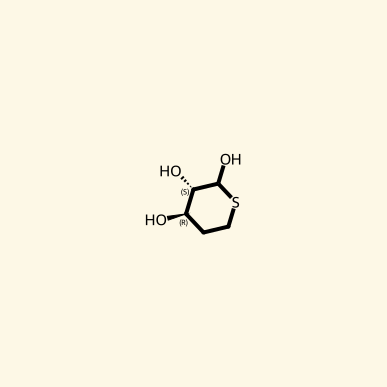 OC1SCC[C@@H](O)[C@@H]1O